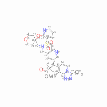 COC(=O)C(C)(C)[C@@H](c1cnc(C)c(CN2CC3(CCOCC3)Oc3ncccc3S2(=O)=O)c1)c1ccn2c(C(F)(F)F)nnc2c1C